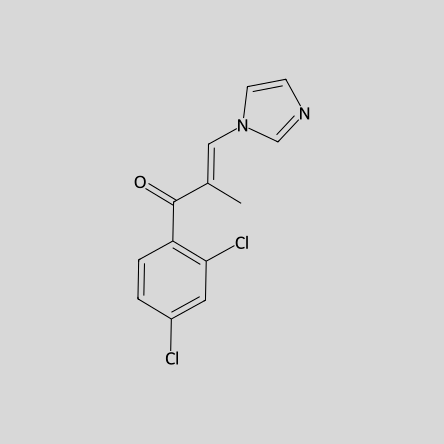 C/C(=C\n1ccnc1)C(=O)c1ccc(Cl)cc1Cl